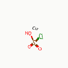 O=S(=O)(O)Cl.[Cu]